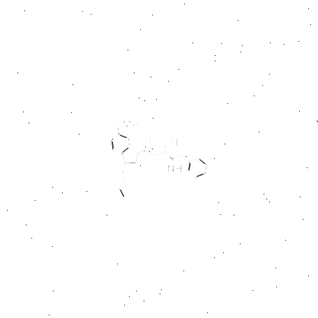 C=CCOC1CC(NC[C@@H](O)[C@@H](N)Cc2ccccc2)c2cc(OC)ccc21